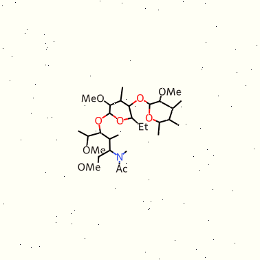 CCC1OC(OC(C(C)OC)C(C)C(COC)N(C)C(C)=O)C(OC)C(C)C1OC1OC(C)C(C)C(C)C1OC